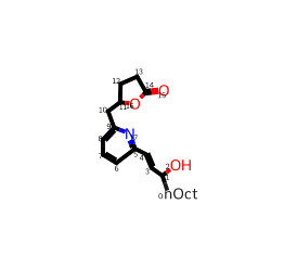 CCCCCCCCC(O)C=Cc1cccc(CC2CCC(=O)O2)n1